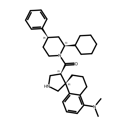 CN(C)c1cccc2c1CCC[C@]21CNC[C@H]1C(=O)N1CC[C@@H](c2ccccc2)C[C@H]1C1CCCCC1